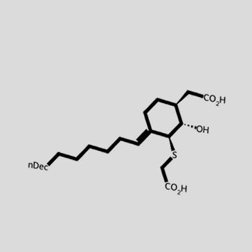 CCCCCCCCCCCCCCC/C=C1\CC[C@@H](CC(=O)O)[C@H](O)[C@H]1SCC(=O)O